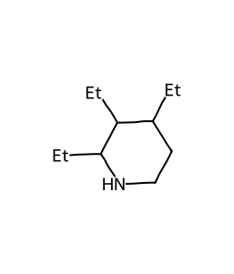 CCC1CCNC(CC)C1CC